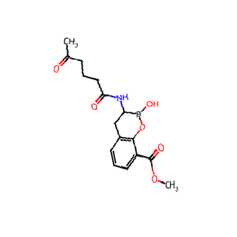 COC(=O)c1cccc2c1OB(O)C(NC(=O)CCCC(C)=O)C2